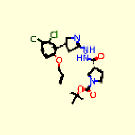 C=CCOc1ccc(Cl)c(Cl)c1[C@H]1CN=C(NNC(=O)[C@@H]2CCN(C(=O)OC(C)(C)C)C2)C1